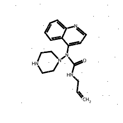 C=CCNC(=O)N(c1ccnc2ccccc12)N1CCNCC1